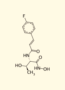 C[C@@H](O)[C@H](NC(=O)/C=C/c1ccc(F)cc1)C(=O)NO